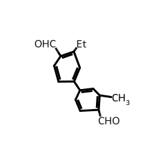 CCc1cc(-c2ccc(C=O)c(C)c2)ccc1C=O